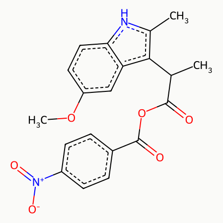 COc1ccc2[nH]c(C)c(C(C)C(=O)OC(=O)c3ccc([N+](=O)[O-])cc3)c2c1